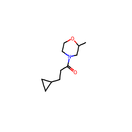 CC1CN(C(=O)CCC2CC2)CCO1